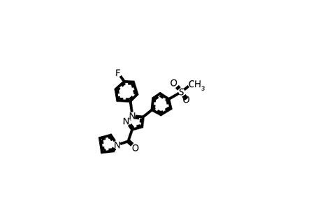 CS(=O)(=O)c1ccc(-c2cc(C(=O)n3cccc3)nn2-c2ccc(F)cc2)cc1